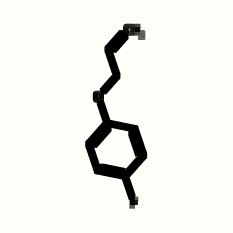 C=CCOc1ccc(F)cc1